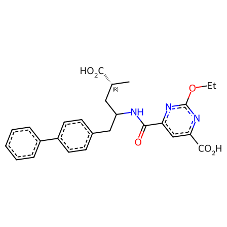 CCOc1nc(C(=O)O)cc(C(=O)NC(Cc2ccc(-c3ccccc3)cc2)C[C@@H](C)C(=O)O)n1